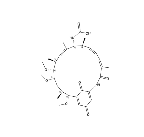 CO[C@H]1[C@@H](OC)C[C@H](C)[C@@H](OC)C2=CC(=O)C=C(NC(=O)C(C)=CC=C[C@H](C)[C@@H](NC(=O)O)C(C)=C[C@@H]1C)C2=O